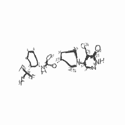 O=C(N[C@H]1CCC[C@H]1C(F)(F)F)O[C@@H]1CCN(c2cn[nH]c(=O)c2Cl)C1